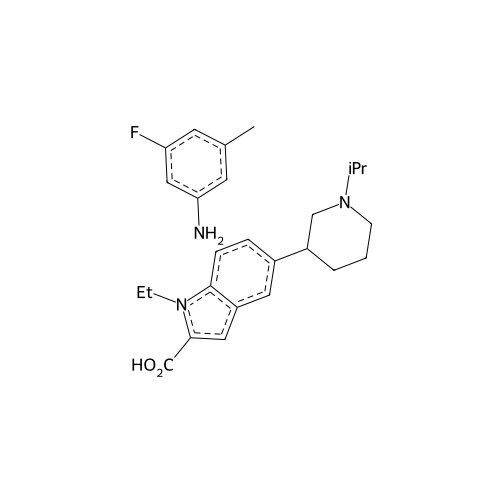 CCn1c(C(=O)O)cc2cc(C3CCCN(C(C)C)C3)ccc21.Cc1cc(N)cc(F)c1